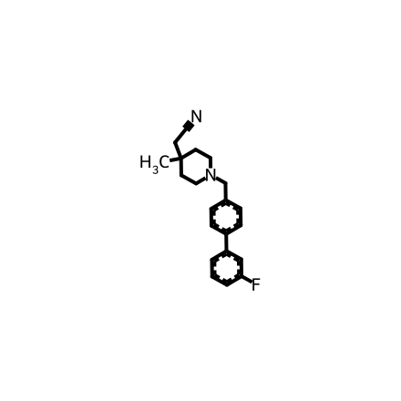 CC1(CC#N)CCN(Cc2ccc(-c3cccc(F)c3)cc2)CC1